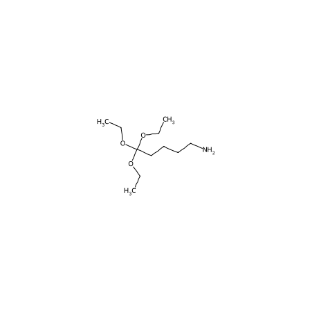 CCOC(CCCCN)(OCC)OCC